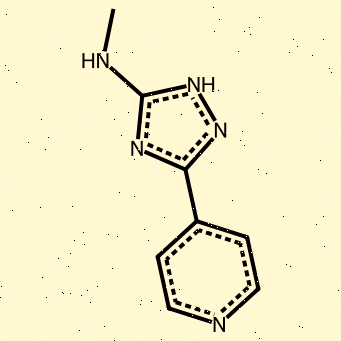 CNc1nc(-c2ccncc2)n[nH]1